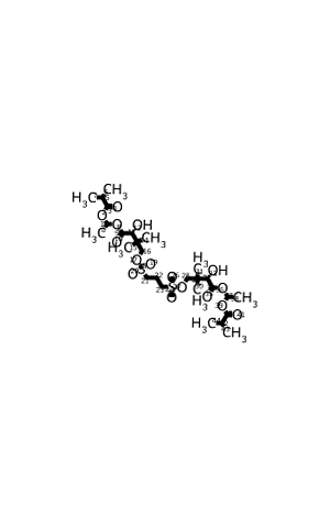 CC(OC(=O)C(C)C)OC(=O)[C@H](O)C(C)(C)COS(=O)(=O)CCCS(=O)(=O)OCC(C)(C)[C@@H](O)C(=O)OC(C)OC(=O)C(C)C